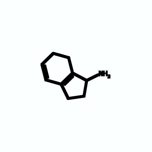 NC1CCC2=C1CCC=C2